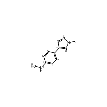 Cn1nnc(-c2ccc(NO)cc2)n1